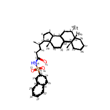 CC[C@H]1CC2C3CC[C@H]([C@H](C)CCC(=O)NS(=O)(=O)c4ccc5ccccc5c4)[C@@]3(C)CCC2[C@@]2(C)CCCC[C@@H]12